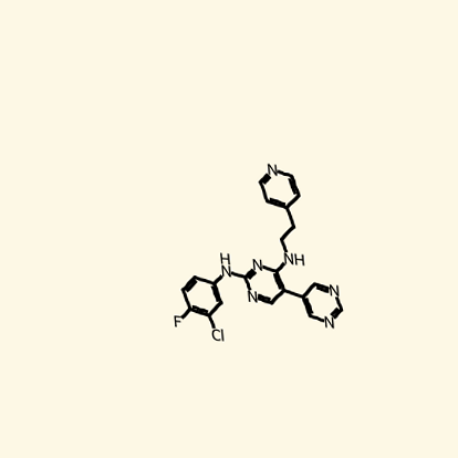 Fc1ccc(Nc2ncc(-c3cncnc3)c(NCCc3ccncc3)n2)cc1Cl